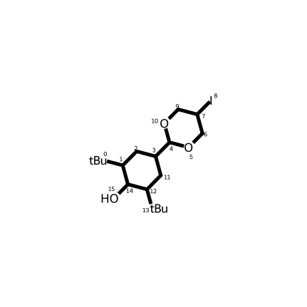 CC(C)(C)C1CC(C2OCC(I)CO2)CC(C(C)(C)C)C1O